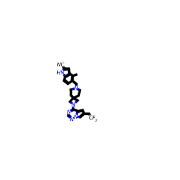 Cc1c(CN2CCC3(CC2)CN(c2ncnn4cc(CC(F)(F)F)cc24)C3)ccc2[nH]c(C#N)cc12